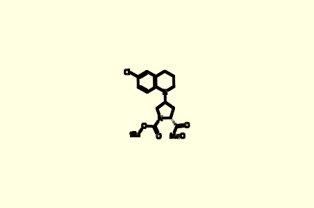 COC(=O)[C@H]1CC(N2CCCc3cc(Cl)ccc32)CN1C(=O)OC(C)(C)C